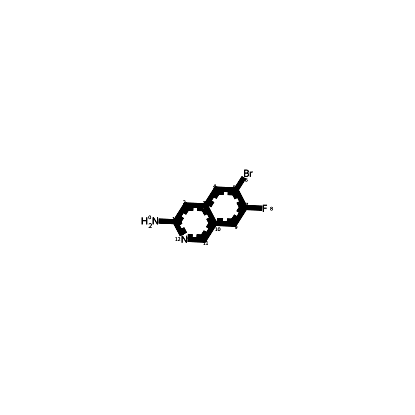 Nc1cc2cc(Br)c(F)cc2cn1